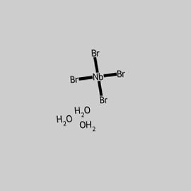 O.O.O.[Br][Nb]([Br])([Br])[Br]